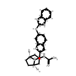 CC(=O)NC1C[C@H]2CC[C@@H](C1)N2Cc1cc2ccc(Oc3nc4ccccc4s3)cc2s1